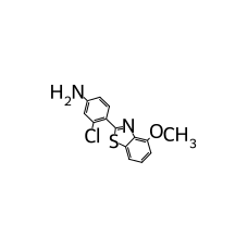 COc1cccc2sc(-c3ccc(N)cc3Cl)nc12